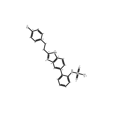 O=S(=O)(Nc1ccccc1-c1ccc2[nH]c(CCc3ccc(Cl)cc3)nc2c1)C(F)(F)F